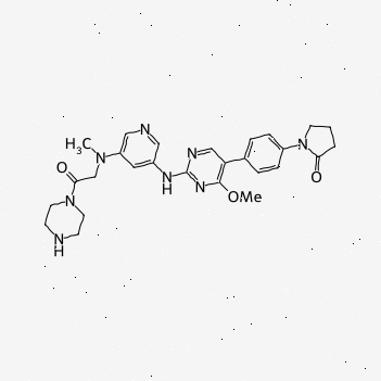 COc1nc(Nc2cncc(N(C)CC(=O)N3CCNCC3)c2)ncc1-c1ccc(N2CCCC2=O)cc1